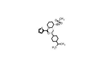 CC(C)C1CCC(OC[C@H]2[C@@H](NS(C)(=O)=O)CCCN2C(=O)c2cccs2)CC1